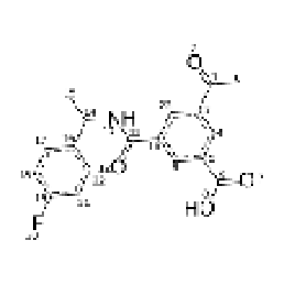 CC(=O)c1cc(C(=O)O)cc(C(=O)NC(C)c2ccc(F)cc2)c1